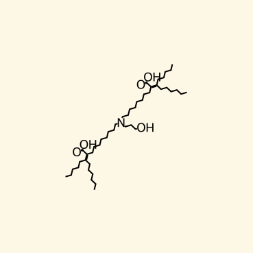 CCCCCC/C(CCCCC)=C(\CCCCCCCCN(CCCO)CCCCCCCC/C(C(=O)O)=C(/CCCCC)CCCCCC)C(=O)O